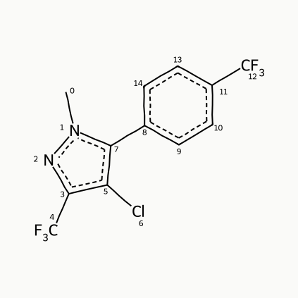 Cn1nc(C(F)(F)F)c(Cl)c1-c1ccc(C(F)(F)F)cc1